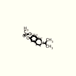 CC(C)N1CCc2cc(OS(C)(=O)=O)ccc2C1